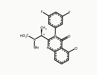 C[C@@H](c1nc2cccc(Cl)c2c(=O)n1-c1cc(F)cc(F)c1)N(C(=O)O)C(C)(C)C